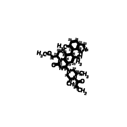 C=CC(=O)N1[C@H](C)CN(c2nc(=O)n3c4c(c(-c5c(C)ccc6cn[nH]c56)c(C)cc24)SCC3COC)C[C@@H]1C